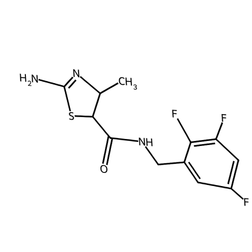 CC1N=C(N)SC1C(=O)NCc1cc(F)cc(F)c1F